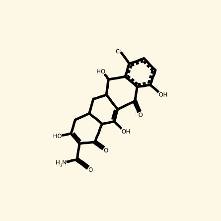 NC(=O)C1=C(O)CC2CC3C(=C(O)C2C1=O)C(=O)c1c(O)ccc(Cl)c1C3O